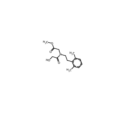 COC(=O)CN(CCc1c(C)cccc1C)C(=O)CO